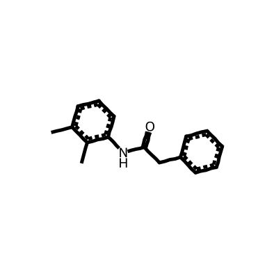 Cc1cccc(NC(=O)Cc2ccccc2)c1C